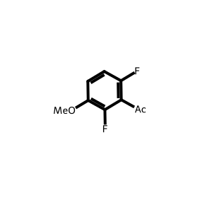 COc1ccc(F)c(C(C)=O)c1F